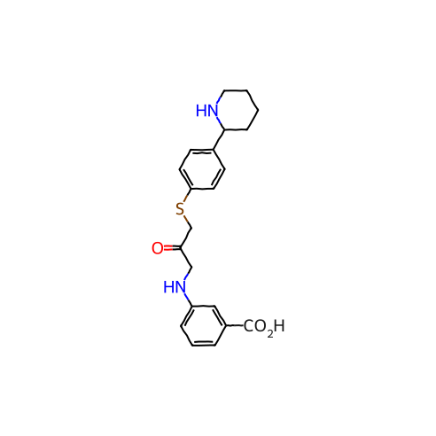 O=C(CNc1cccc(C(=O)O)c1)CSc1ccc(C2CCCCN2)cc1